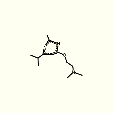 Cc1nc(OCCN(C)C)cc(C(C)C)n1